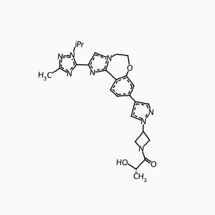 Cc1nc(-c2cn3c(n2)-c2ccc(-c4cnn(C5CN(C(=O)[C@H](C)O)C5)c4)cc2OCC3)n(C(C)C)n1